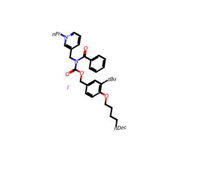 CCCCCCCCCCCCCCOc1ccc(COC(=O)N(Cc2ccc[n+](CCC)c2)C(=O)c2ccccc2)cc1C(C)(C)C.[I-]